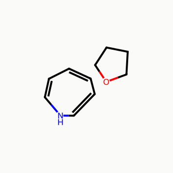 C1=CC=CNC=C1.C1CCOC1